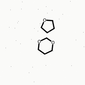 C1CCOC1.C1COCOC1